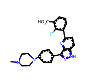 CN1CCN(c2ccc(-c3n[nH]c4ccc(-c5cccc(C(=O)O)c5F)nc34)cc2)CC1